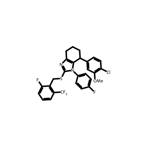 COc1cc(C2CCCc3nc(SCc4c(F)cccc4C(F)(F)F)n(-c4ccc(F)cc4)c32)ccc1Cl